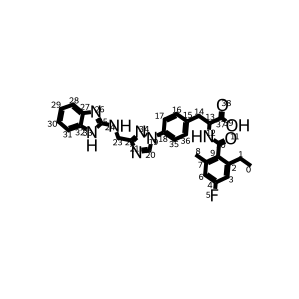 CCc1cc(F)cc(C)c1C(=O)NC(Cc1ccc(-n2cnc(CNc3nc4ccccc4[nH]3)n2)cc1)C(=O)O